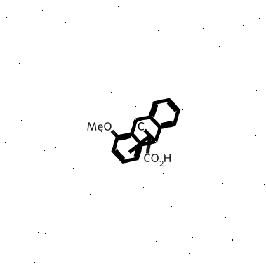 COc1cccc2c1C1CC(C)(C(=O)O)C2c2ccccc21